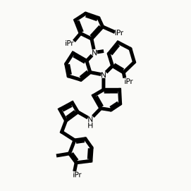 Cc1c(CC2=C(Nc3cccc(N(C4=C(C(C)C)CCC=C4)c4ccccc4N(C)c4c(C(C)C)cccc4C(C)C)c3)C=C2)cccc1C(C)C